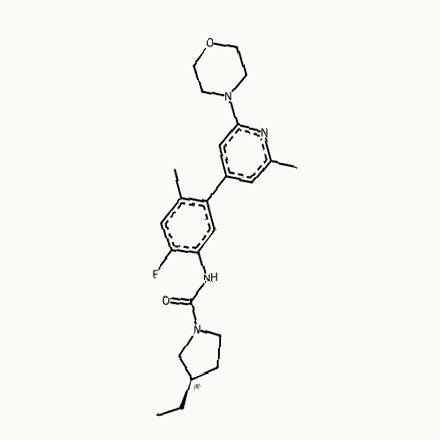 CC[C@@H]1CCN(C(=O)Nc2cc(-c3cc(C)nc(N4CCOCC4)c3)c(C)cc2F)C1